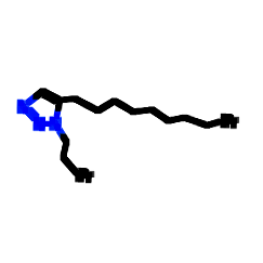 CC(C)CCCCCCCCc1cnnn1CCC(C)C